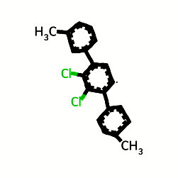 Cc1ccc(-c2[c]cc(-c3cccc(C)c3)c(Cl)c2Cl)cc1